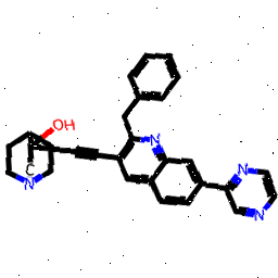 OC1(C#Cc2cc3ccc(-c4cnccn4)cc3nc2Cc2ccccc2)CN2CCC1CC2